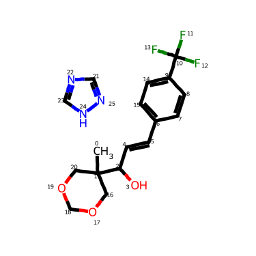 CC1(C(O)C=Cc2ccc(C(F)(F)F)cc2)COCOC1.c1nc[nH]n1